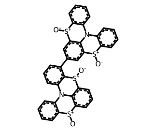 [O-][S+]1c2ccccc2N2c3ccccc3[S+]([O-])c3cc(-c4cccc5c4[S+]([O-])c4cccc6c4N5c4ccccc4[S+]6[O-])cc1c32